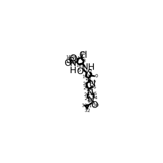 Cc1sc(C(=O)Nc2cc(Cl)cc(NS(C)(=O)=O)c2)cc1-c1ccc(N2CCN(C(=O)C3CC3)CC2)cn1